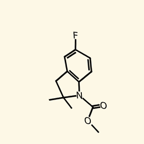 COC(=O)N1c2ccc(F)cc2CC1(C)C